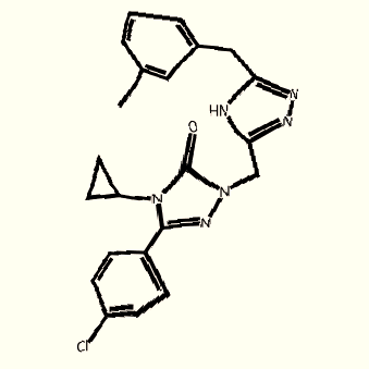 Cc1cccc(Cc2nnc(Cn3nc(-c4ccc(Cl)cc4)n(C4CC4)c3=O)[nH]2)c1